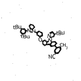 Cc1ccc(C#N)cc1-c1ccc2c(c1)c1ccc(Oc3cccc(-n4c[n+](-c5cc(C(C)(C)C)cc(C(C)(C)C)c5)c5ccccc54)c3)cc1n2-c1cc(C(C)(C)C)ccn1